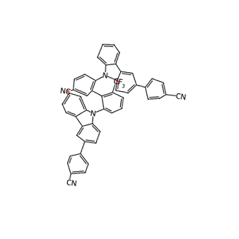 N#Cc1ccc(-c2ccc3c(c2)c2ccccc2n3-c2ccc(C#N)cc2-c2c(-n3c4ccccc4c4cc(-c5ccc(C#N)cc5)ccc43)cccc2C(F)(F)F)cc1